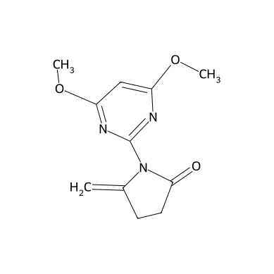 C=C1CCC(=O)N1c1nc(OC)cc(OC)n1